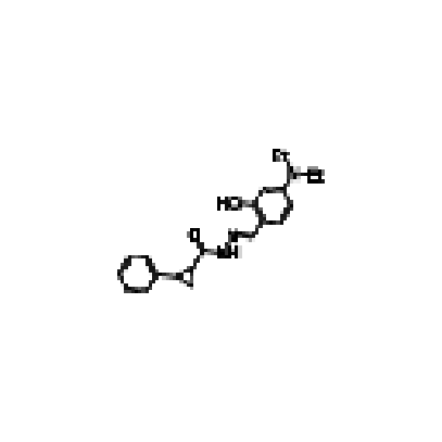 CCN(CC)c1ccc(/C=N/NC(=O)C2CC2c2ccccc2)c(O)c1